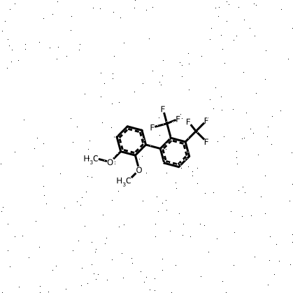 COc1[c]ccc(-c2cccc(C(F)(F)F)c2C(F)(F)F)c1OC